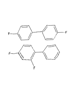 Fc1ccc(-c2ccc(F)cc2)cc1.Fc1ccc(-c2ccccc2)c(F)c1